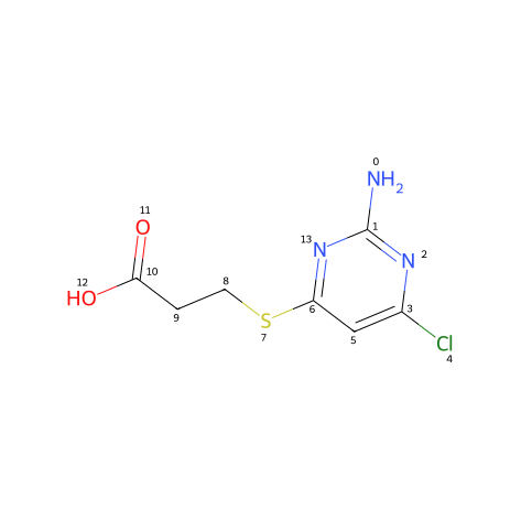 Nc1nc(Cl)cc(SCCC(=O)O)n1